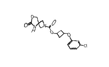 O=C1NC2(CO1)CN(C(=O)OC1CC(Oc3cccc(Cl)c3)C1)C2